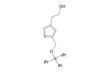 CC(C)[Si](OCc1cc(CCO)cs1)(C(C)C)C(C)C